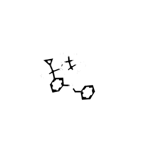 CC(B1OC(C)(C)C(C)(C)O1)(c1cccc(OCc2ccccc2)c1)C1CC1